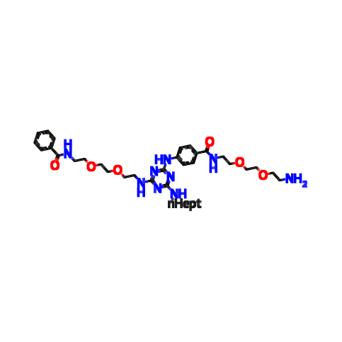 CCCCCCCNc1nc(NCCOCCOCCNC(=O)c2ccccc2)nc(Nc2ccc(C(=O)NCCOCCOCCN)cc2)n1